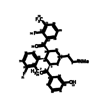 CNCCN1C[C@H](C(=O)c2cccc(O)c2)[C@H](c2cccc(F)c2C)[C@@H](C(=O)c2cccc(C(F)(F)F)c2F)C1